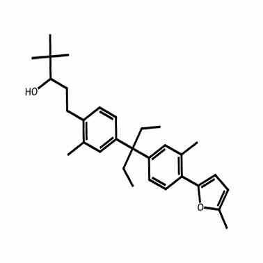 CCC(CC)(c1ccc(CCC(O)C(C)(C)C)c(C)c1)c1ccc(-c2ccc(C)o2)c(C)c1